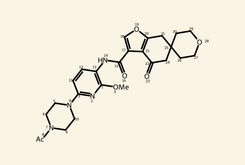 COc1nc(N2CCN(C(C)=O)CC2)ccc1NC(=O)c1coc2c1C(=O)CC1(CCOCC1)C2